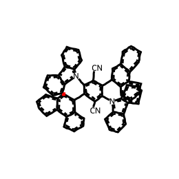 N#Cc1c(-c2cc3ccccc3c3ccccc23)c(-n2c3ccccc3c3ccccc32)c(C#N)c(-c2cc3ccccc3c3ccccc23)c1-n1c2ccccc2c2ccccc21